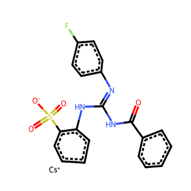 O=C(N/C(=N/c1ccc(F)cc1)Nc1ccccc1S(=O)(=O)[O-])c1ccccc1.[Cs+]